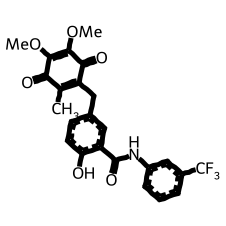 COC1=C(OC)C(=O)C(Cc2ccc(O)c(C(=O)Nc3cccc(C(F)(F)F)c3)c2)=C(C)C1=O